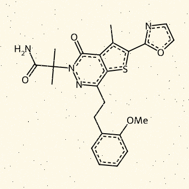 COc1ccccc1CCc1nn(C(C)(C)C(N)=O)c(=O)c2c(C)c(-c3ncco3)sc12